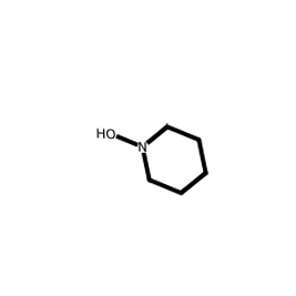 ON1[CH]CCCC1